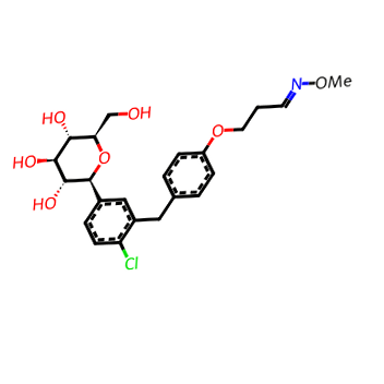 CON=CCCOc1ccc(Cc2cc([C@@H]3O[C@H](CO)[C@@H](O)[C@H](O)[C@H]3O)ccc2Cl)cc1